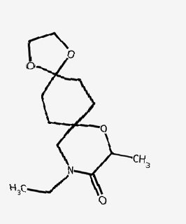 CCN1CC2(CCC3(CC2)OCCO3)OC(C)C1=O